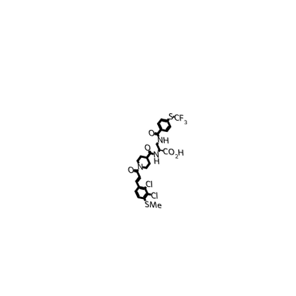 CSc1ccc(C=CC(=O)N2CCC(C(=O)N[C@@H](CNC(=O)c3ccc(SC(F)(F)F)cc3)C(=O)O)CC2)c(Cl)c1Cl